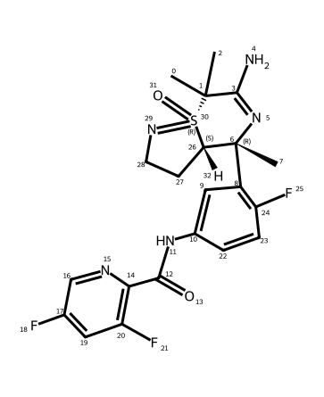 CC1(C)C(N)=N[C@](C)(c2cc(NC(=O)c3ncc(F)cc3F)ccc2F)[C@@H]2CCN=[S@@]21=O